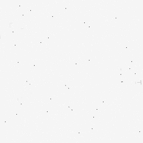 O=C(O)CCCCc1nc2cc(C(=O)NCc3ccc(C(F)(F)F)cc3)ccc2nc1-c1ccccc1